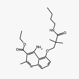 CCCCNC(=O)C(C)(C)COc1cccc2nc(C)c(C(=O)OCC)c(N)c12